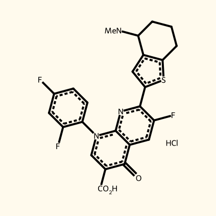 CNC1CCCc2sc(-c3nc4c(cc3F)c(=O)c(C(=O)O)cn4-c3ccc(F)cc3F)cc21.Cl